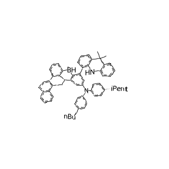 CCCCc1ccc(N(c2ccc([C@@H](C)CCC)cc2)c2cc(-c3cccc4c3Nc3ccccc3C4(C)C)c3c(c2)C2Cc4c(ccc5ccccc45)-c4cccc(c42)B3)cc1